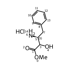 COC(=O)C(O)[C@@H](N)Cc1ccccc1.Cl